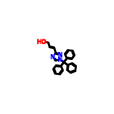 OC/C=C/c1ncn(C(c2ccccc2)(c2ccccc2)c2ccccc2)n1